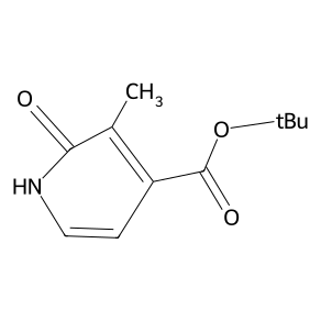 Cc1c(C(=O)OC(C)(C)C)cc[nH]c1=O